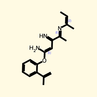 C=C(C)c1ccccc1O/C(N)=C/C(=N)/C(C)=N/C(C)=C\C